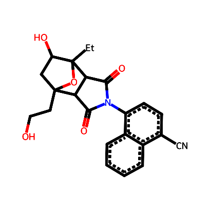 CCC12OC(CCO)(CC1O)C1C(=O)N(c3ccc(C#N)c4ccccc34)C(=O)C12